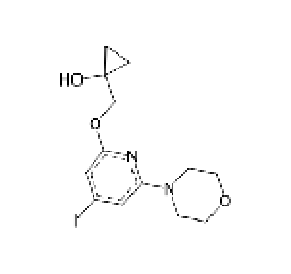 OC1(COc2cc(I)cc(N3CCOCC3)n2)CC1